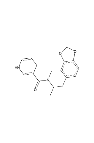 CC(Cc1ccc2c(c1)OCO2)N(C)C(=O)C1=CNC=CC1